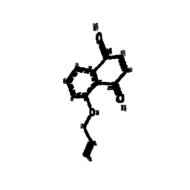 C=CCOc1cccc2c1C(=O)C=CC2=O